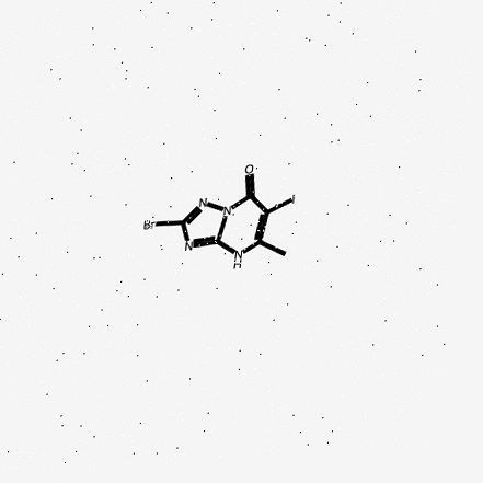 Cc1[nH]c2nc(Br)nn2c(=O)c1I